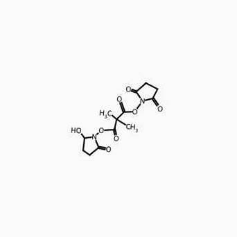 CC(C)(C(=O)ON1C(=O)CCC1=O)C(=O)ON1C(=O)CCC1O